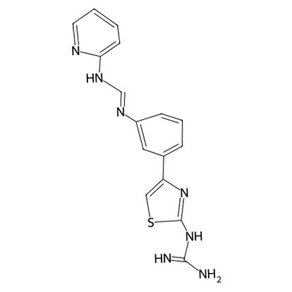 N=C(N)Nc1nc(-c2cccc(/N=C/Nc3ccccn3)c2)cs1